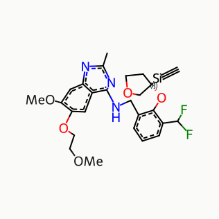 C#[Si][C@]1(Oc2c(CNc3nc(C)nc4cc(OC)c(OCCOC)cc34)cccc2C(F)F)CCOC1